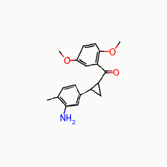 COc1ccc(OC)c(C(=O)C2CC2c2ccc(C)c(N)c2)c1